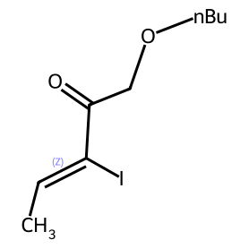 C/C=C(\I)C(=O)COCCCC